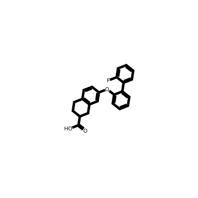 O=C(O)C1CCc2ccc(Oc3ccccc3-c3ccccc3F)cc2C1